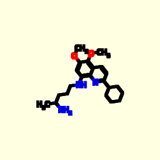 COc1cc(NCCCC(C)N)c2nc(C3CCCCC3)ccc2c1OC